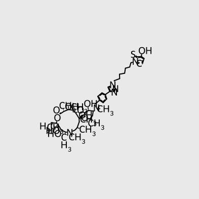 CC[C@H]1OC(=O)[C@H](C)[C@@H](O)[C@H](C)[C@@H](O[C@@H]2O[C@H](C)C[C@H](N(C)Cc3ccc(-c4cn(CCCCCCCn5cccc(O)c5=S)nn4)cc3)[C@@H]2O)[C@](C)(O)C[C@@H](C)CN(C)[C@H](C)[C@@H](O)[C@]1(C)O